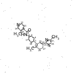 CC1=C(c2ccc(NC(=O)c3ccncc3C)cc2)C=C(c2nc(C)cs2)CC1